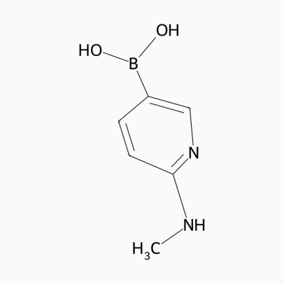 CNc1ccc(B(O)O)cn1